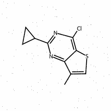 Cc1csc2c(Cl)nc(C3CC3)nc12